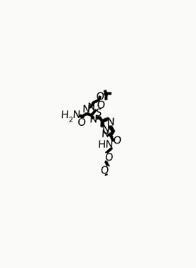 COCCOCCNC(=O)c1cc2ncc(C3=NC4C(C(N)=O)=NN(CC(=O)OC(C)(C)C)C4S3)cn2n1